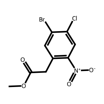 COC(=O)Cc1cc(Br)c(Cl)cc1[N+](=O)[O-]